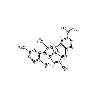 CCCCN(CC)c1ccc(/N=C2/C(C)=Nc3c(-c4cc(OC)ccc4OC)c(C)nn32)c(C)c1